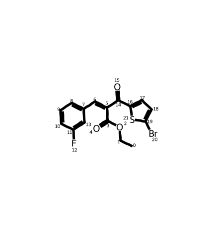 CCOC(=O)C(=Cc1cccc(F)c1)C(=O)c1ccc(Br)s1